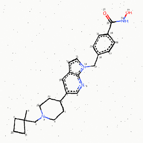 CC1(CN2CCC(c3cnc4c(ccn4Cc4ccc(C(=O)NO)cc4)c3)CC2)CCC1